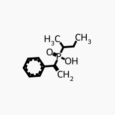 C=C(c1ccccc1)P(=O)(O)C(C)CC